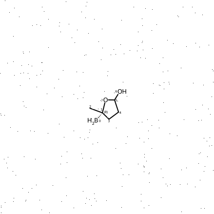 B[C@@]1(C)CCC(O)O1